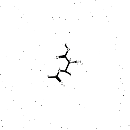 COC(=O)[C@@H](N)C(C)OC(C)=O